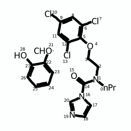 CCCN(CCOc1c(Cl)cc(Cl)cc1Cl)C(=O)n1ccnc1.O=[C]c1ccccc1O